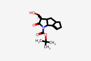 CC(C)(C)OC(=O)N1C(=O)/C(=C\O)C2CC3CCC=C3C21